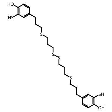 Oc1ccc(CCCSCCCSSCCCSCCCc2ccc(O)c(S)c2)cc1S